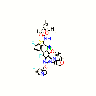 CC(C)(C)OC(=O)Nc1sc2c(F)ccc(-c3c(Cl)c4c5c(nc(OC[C@@]67CCCN6C[C@H](F)C7)nc5c3F)N3[C@H](CO4)C[C@@H]4OCC[C@@H]43)c2c1C#N